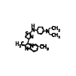 CCN(CC)c1ccc(Nc2nc(-c3c(C)nc4ccc(C)cn34)cs2)cc1